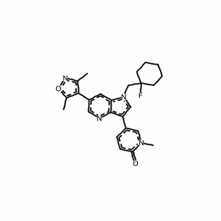 Cc1noc(C)c1-c1cnc2c(-c3ccc(=O)n(C)c3)cn(CC3(F)CCCCC3)c2c1